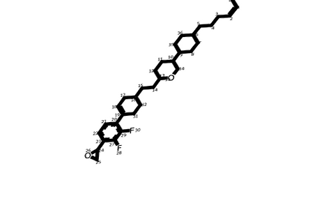 C/C=C\CCCC1CCC(C2CCC(CCC3CC=C(c4ccc(C5CO5)c(F)c4F)CC3)OC2)CC1